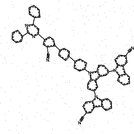 N#Cc1ccc2c(c1)c1ccccc1n2-c1ccc2c(c1)c1cc(-n3c4ccccc4c4cc(C#N)ccc43)ccc1n2-c1ccc(-c2ccc(-c3ccc(-c4cc(-c5ccccc5)nc(-c5ccccc5)n4)cc3C#N)cc2)cc1